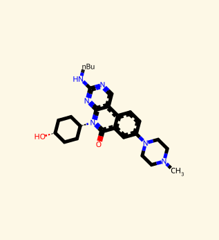 CCCCNc1ncc2c3ccc(N4CCN(C)CC4)cc3c(=O)n([C@H]3CC[C@@H](O)CC3)c2n1